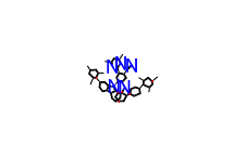 Cc1cc(C)c(-c2ccc3c4ccccc4n(-c4cc(C#N)c(-c5nc(C)cc(C)n5)cc4-n4c5ccccc5c5ccc(-c6c(C)cc(C)cc6C)cc54)c3c2)c(C)c1